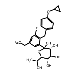 CC(=O)OCc1cc(F)c(Cc2ccc(OC3CC3)cc2)c([C@@]2(O)O[C@H]([C@H](C)O)[C@@H](O)[C@H](O)[C@H]2O)c1